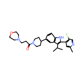 Cc1cc(-c2[nH]c3ccc(C4CCN(C(=O)CCN5CCOCC5)CC4)cc3c2C(C)C)c(F)cn1